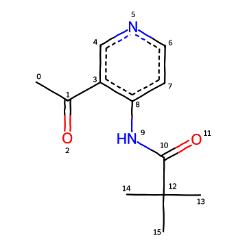 CC(=O)c1cnccc1NC(=O)C(C)(C)C